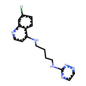 Clc1ccc2c(NCCCCNc3nccnn3)ccnc2c1